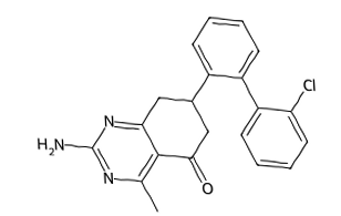 Cc1nc(N)nc2c1C(=O)CC(c1ccccc1-c1ccccc1Cl)C2